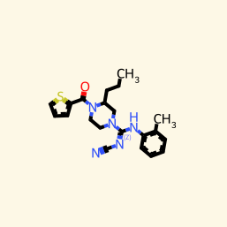 CCCC1CN(/C(=N\C#N)Nc2ccccc2C)CCN1C(=O)c1cccs1